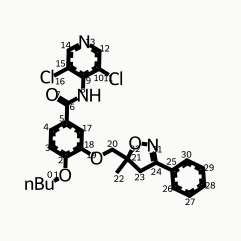 CCCCOc1ccc(C(=O)Nc2c(Cl)cncc2Cl)cc1OCC1(C)CC(c2ccccc2)=NO1